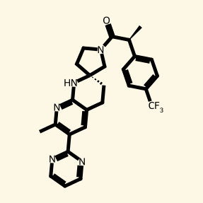 Cc1nc2c(cc1-c1ncccn1)CC[C@@]1(CCN(C(=O)[C@@H](C)c3ccc(C(F)(F)F)cc3)C1)N2